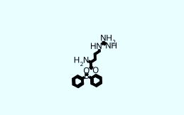 N=C(N)NCCCC(N)C(=O)OB(c1ccccc1)c1ccccc1